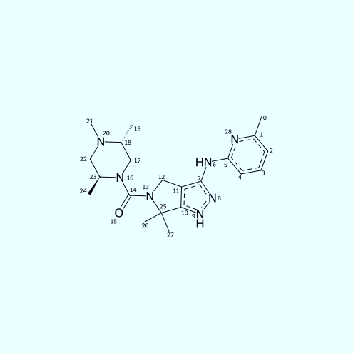 Cc1cccc(Nc2n[nH]c3c2CN(C(=O)N2C[C@@H](C)N(C)C[C@@H]2C)C3(C)C)n1